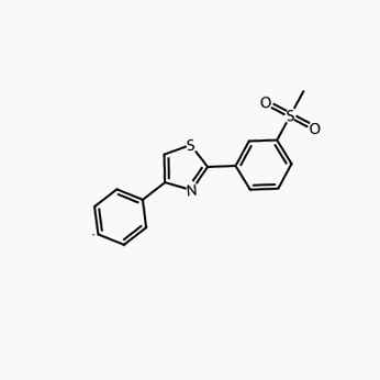 CS(=O)(=O)c1cccc(-c2nc(-c3cc[c]cc3)cs2)c1